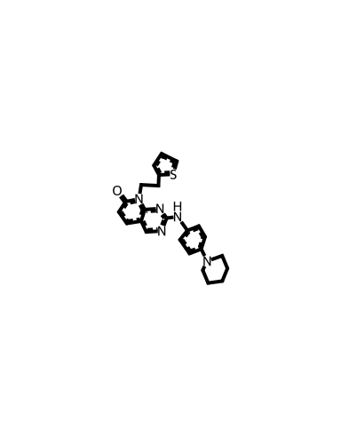 O=c1ccc2cnc(Nc3ccc(N4CCCCC4)cc3)nc2n1CCc1cccs1